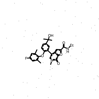 CCNC(=O)c1cc2c(-c3cc(C(C)(C)O)ccc3Oc3c(C)cc(F)cc3C)cn(C)c(=O)c2o1